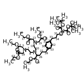 CCOC(=O)CN(CCN(CCN(CC(=O)OCC)CC(=O)OCC)C(CCCc1ccc(CCCON(C(=O)OC(C)(C)C)C(=O)OC(C)(C)C)cc1)C(=O)OCC)CC(=O)OCC